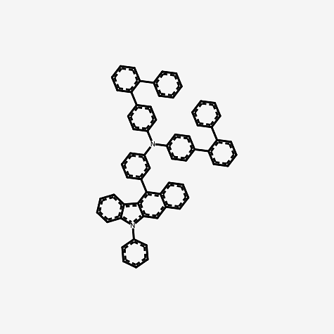 c1ccc(-c2ccccc2-c2ccc(N(c3ccc(-c4ccccc4-c4ccccc4)cc3)c3cccc(-c4c5ccccc5cc5c4c4ccccc4n5-c4ccccc4)c3)cc2)cc1